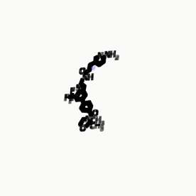 CC1(C)COCCN1C(=O)c1ccc(-c2cc(C(F)(F)F)c3sc(CNC(=O)/C=C/c4ccc(N)nc4)cc3c2)cc1